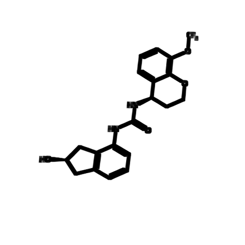 O=C(Nc1cccc2c1C[C@H](O)C2)N[C@@H]1CCOc2c(OC(F)(F)F)cccc21